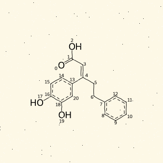 O=C(O)C=C(CCc1ccccc1)c1ccc(O)c(O)c1